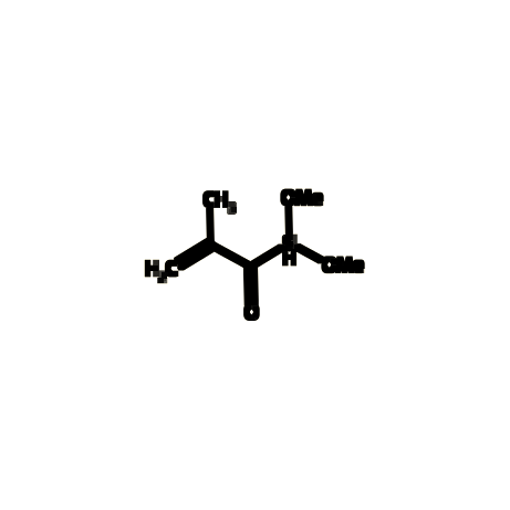 C=C(C)C(=O)[SiH](OC)OC